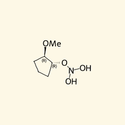 CO[C@@H]1CCC[C@H]1ON(O)O